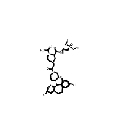 CCOP(=O)(CCNC(=O)C1CC(CC(=O)N2CCC([C@H]3c4ncc(Br)cc4CCc4cc(Cl)cc(Br)c43)CC2)CCN1C(N)=O)OCC